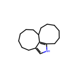 c1[nH]c2c3c1CCCCCCC3CCCCCC2